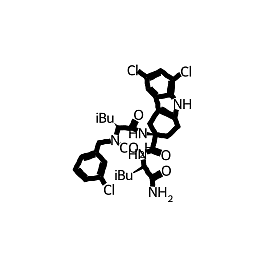 CC[C@H](C)C(NC(=O)[C@@]1(NC(=O)C([C@@H](C)CC)N(Cc2cccc(Cl)c2)C(=O)O)CCc2[nH]c3c(Cl)cc(Cl)cc3c2C1)C(N)=O